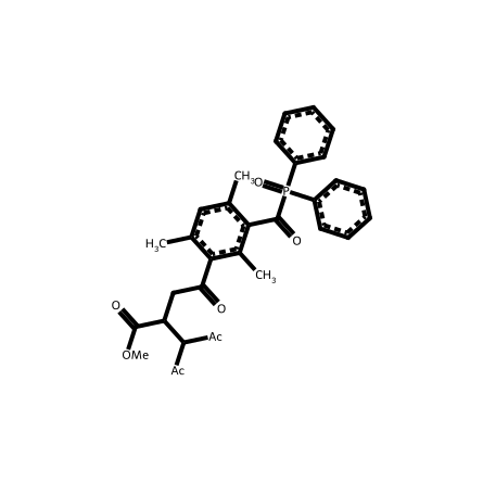 COC(=O)C(CC(=O)c1c(C)cc(C)c(C(=O)P(=O)(c2ccccc2)c2ccccc2)c1C)C(C(C)=O)C(C)=O